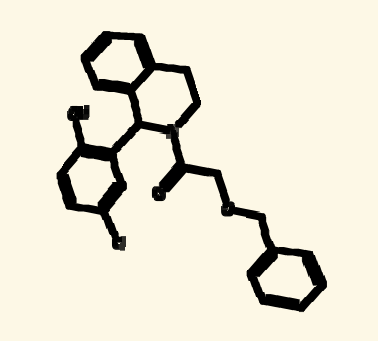 O=C(COCc1ccccc1)N1CCc2ccccc2C1c1cc(Cl)ccc1O